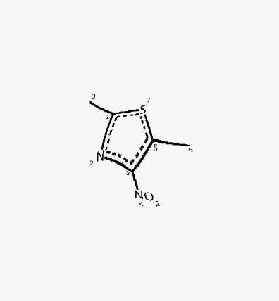 Cc1nc([N+](=O)[O-])c(C)s1